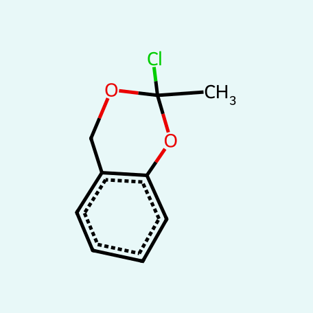 CC1(Cl)OCc2ccccc2O1